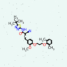 COc1cc(C=C=C(C#N)C(=O)Nc2nnc(C(C)(C)C)s2)ccc1OCCCOc1c(C)cccc1C